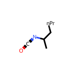 CCCCC(C)N=C=O